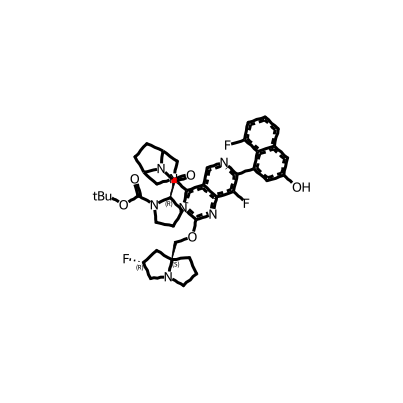 CC(C)(C)OC(=O)N1CCC[C@@H]1C(=O)N1C2CCC1CN(c1nc(OC[C@@]34CCCN3C[C@H](F)C4)nc3c(F)c(-c4cc(O)cc5cccc(F)c45)ncc13)C2